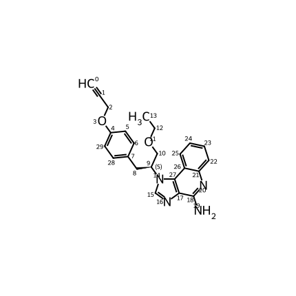 C#CCOc1ccc(C[C@@H](COCC)n2cnc3c(N)nc4ccccc4c32)cc1